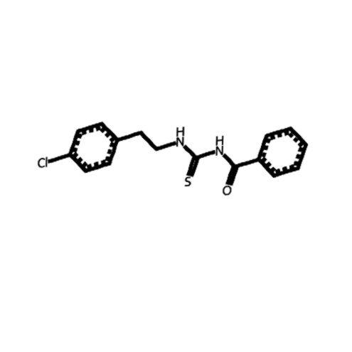 O=C(NC(=S)NCCc1ccc(Cl)cc1)c1ccccc1